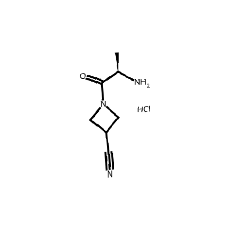 C[C@@H](N)C(=O)N1CC(C#N)C1.Cl